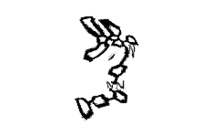 c1ccc(-c2ccc(-c3cccc4nc(-c5ccc(-c6nc7ccccc7c7c8c(ccc67)C6(c7ccccc7-c7ccccc76)c6ccccc6-8)cc5)ncc34)cc2)cc1